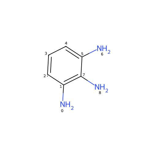 Nc1[c]ccc(N)c1N